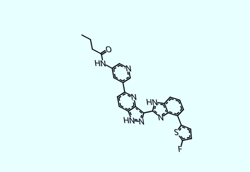 CCCC(=O)Nc1cncc(-c2ccc3[nH]nc(-c4nc5c(-c6ccc(F)s6)cccc5[nH]4)c3n2)c1